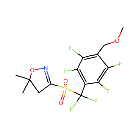 COCc1c(F)c(F)c(C(F)(F)S(=O)(=O)C2=NOC(C)(C)C2)c(F)c1F